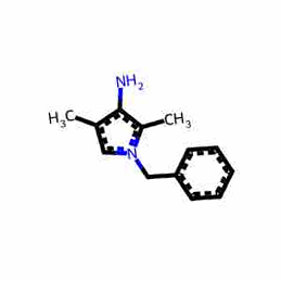 Cc1cn(Cc2ccccc2)c(C)c1N